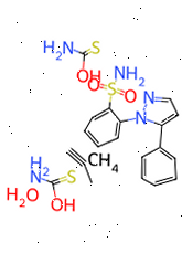 C.C#CC.NC(O)=S.NC(O)=S.NS(=O)(=O)c1ccccc1-n1nccc1-c1ccccc1.O